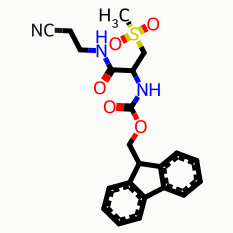 CS(=O)(=O)CC(NC(=O)OCC1c2ccccc2-c2ccccc21)C(=O)NCCC#N